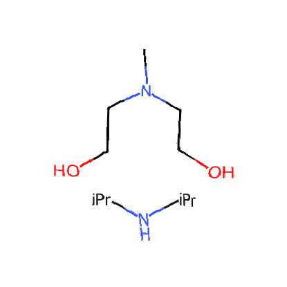 CC(C)NC(C)C.CN(CCO)CCO